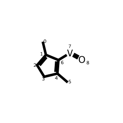 CC1=CCC(C)=[C]1[V]=[O]